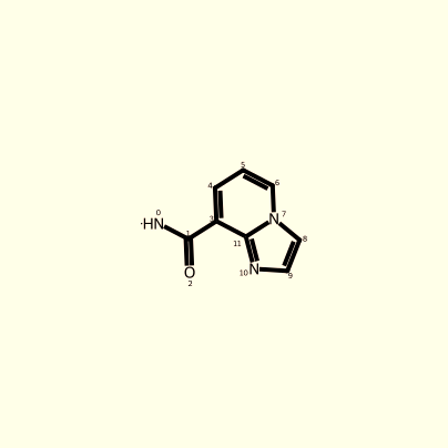 [NH]C(=O)c1cccn2ccnc12